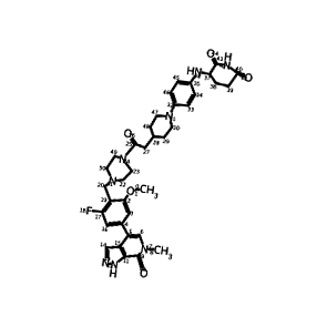 COc1cc(-c2cn(C)c(=O)c3[nH]ncc23)cc(F)c1CN1CCN(C(=O)CC2CCN(c3ccc(NC4CCC(=O)NC4=O)cc3)CC2)CC1